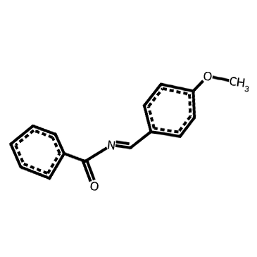 COc1ccc(/C=N/C(=O)c2ccccc2)cc1